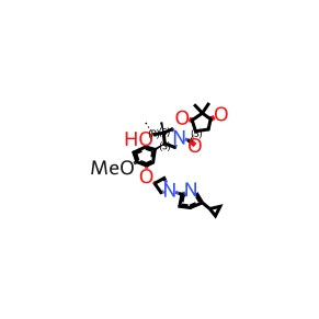 COc1ccc([C@@H]2CN(C(=O)[C@H]3CC(=O)C(C)(C)C3=O)C[C@@]2(C)[C@@H](C)O)cc1OC1CN(c2ccc(C3CC3)cn2)C1